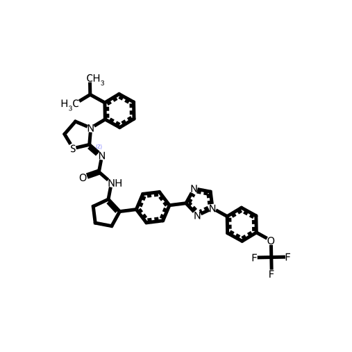 CC(C)c1ccccc1N1CCS/C1=N\C(=O)NC1=C(c2ccc(-c3ncn(-c4ccc(OC(F)(F)F)cc4)n3)cc2)CCC1